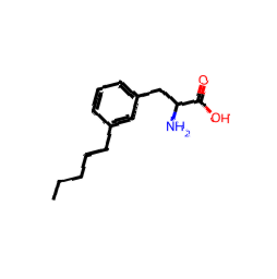 CCCCCc1cccc(CC(N)C(=O)O)c1